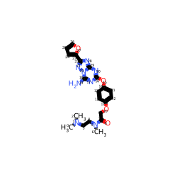 CN(C)CCN(C)C(=O)COc1ccc(Oc2nc(N)n3nc(-c4ccco4)nc3n2)cc1